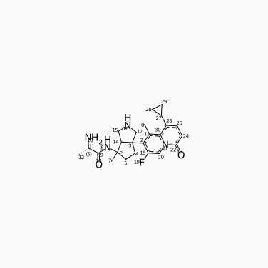 Cc1c(C23CCC(C)(NC(=O)[C@H](C)N)C2CNC3)c(F)cn2c(=O)ccc(C3CC3)c12